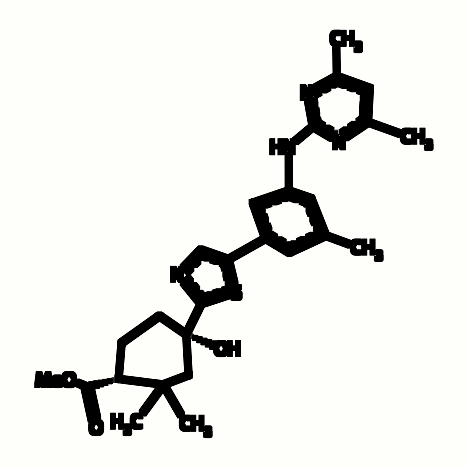 COC(=O)[C@@H]1CC[C@@](O)(c2ncc(-c3cc(C)cc(Nc4nc(C)cc(C)n4)c3)s2)CC1(C)C